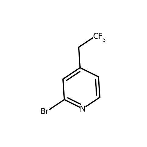 FC(F)(F)Cc1ccnc(Br)c1